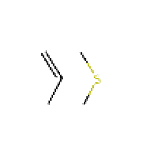 C=CC.CSC